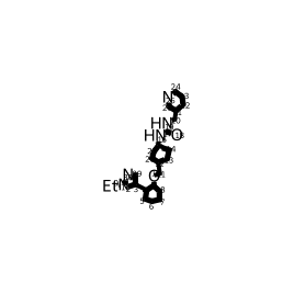 CCn1cc(-c2ccccc2OCc2ccc(NC(=O)NCc3cccnc3)cc2)cn1